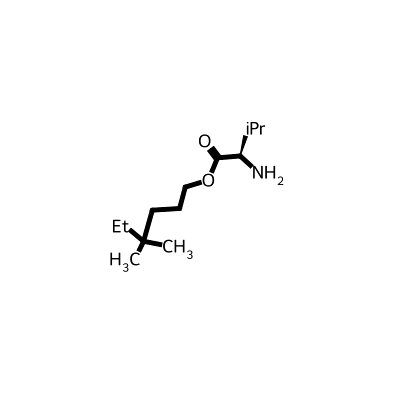 CCC(C)(C)CCCOC(=O)[C@H](N)C(C)C